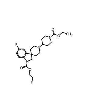 CCOC(=O)N1CCC(N2CCC3(CC2)CN(C(=O)OCCF)c2ccc(F)cc23)CC1